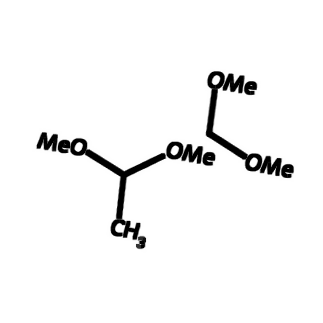 COC(C)OC.COCOC